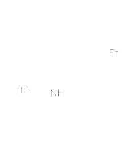 CCCCNO